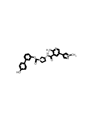 Cn1cc(-c2cnc(N)c(C(=O)N[C@@H]3CCN(C(=O)Oc4cccc(-c5ccc(O)cc5)c4)C3)c2)cn1